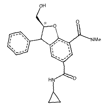 CNC(=O)c1cc(C(=O)NC2CC2)cc2c1O[C@H](CO)C2c1ccccc1